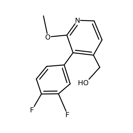 COc1nccc(CO)c1-c1ccc(F)c(F)c1